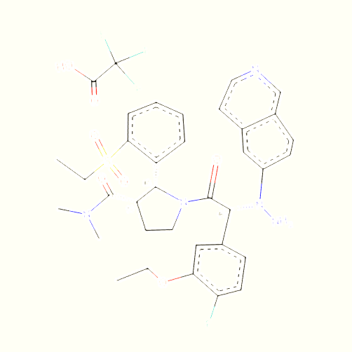 CCOc1cc([C@H](C(=O)N2CC[C@H](C(=O)N(C)C)[C@@H]2c2ccccc2S(=O)(=O)CC)N(N)c2ccc3cnccc3c2)ccc1F.O=C(O)C(F)(F)F